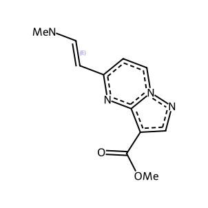 CN/C=C/c1ccn2ncc(C(=O)OC)c2n1